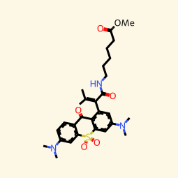 COC(=O)CCCCCNC(=O)C(=C(C)C)c1cc(N(C)C)cc2c1C(=O)c1ccc(N(C)C)cc1S2(=O)=O